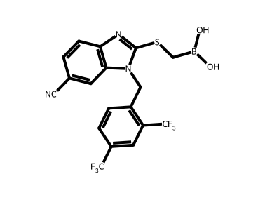 N#Cc1ccc2nc(SCB(O)O)n(Cc3ccc(C(F)(F)F)cc3C(F)(F)F)c2c1